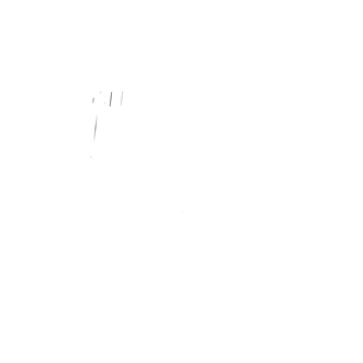 OCC#CI